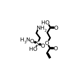 C=CC(=O)OCCC(=O)O.N.NCCS(=O)(=O)O